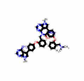 CC(C)n1cc(-c2ccc(Oc3ccccc3CN(c3ncnc4c3c(-c3ccc(Oc5ccccc5CN(C)C)cc3)cn4C(C)C)C(O)CN)cc2)c2c(N)ncnc21